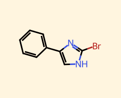 Brc1nc(-c2ccccc2)c[nH]1